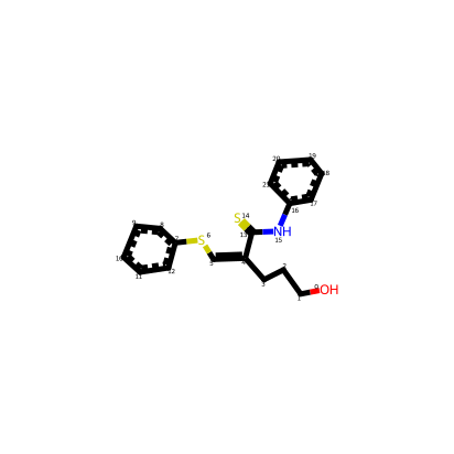 OCCCC(=CSc1ccccc1)C(=S)Nc1ccccc1